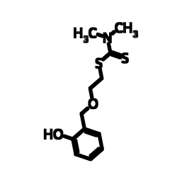 CN(C)C(=S)SCCOCc1ccccc1O